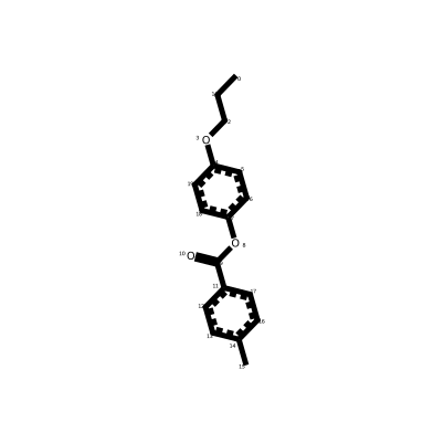 CCCOc1ccc(OC(=O)c2ccc(C)cc2)cc1